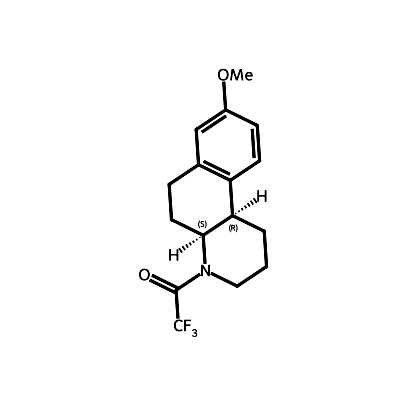 COc1ccc2c(c1)CC[C@H]1[C@@H]2CCCN1C(=O)C(F)(F)F